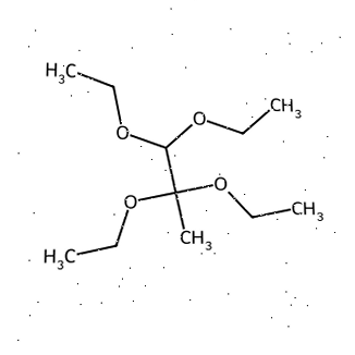 CCOC(OCC)C(C)(OCC)OCC